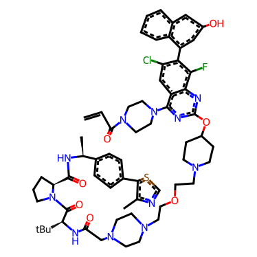 C=CC(=O)N1CCN(c2nc(OC3CCN(CCOCCN4CCN(CC(=O)N[C@H](C(=O)N5CCC[C@H]5C(=O)N[C@@H](C)c5ccc(-c6scnc6C)cc5)C(C)(C)C)CC4)CC3)nc3c(F)c(-c4cc(O)cc5ccccc45)c(Cl)cc23)CC1